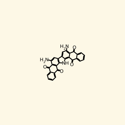 Nc1cc2c3cc(N)c4c(=O)c5ccccc5c(=O)c4c3[nH]c2c2c(=O)c3ccccc3c(=O)c12